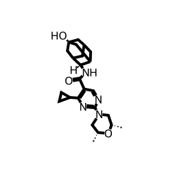 C[C@@H]1CN(c2ncc(C(=O)N[C@H]3C4CC5CC3C[C@@](O)(C5)C4)c(C3CC3)n2)C[C@H](C)O1